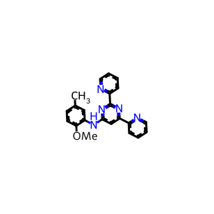 COc1ccc(C)cc1Nc1cc(-c2ccccn2)nc(-c2ccccn2)n1